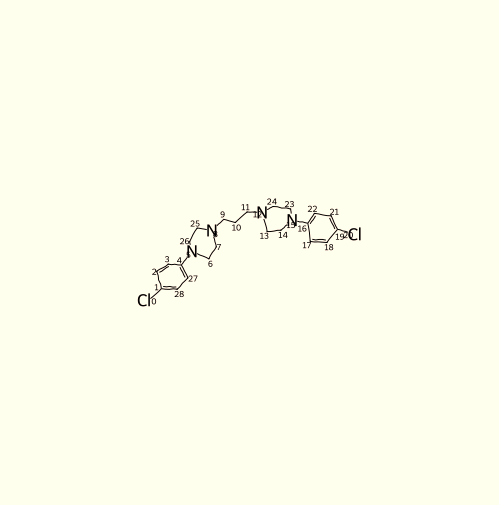 Clc1ccc(N2CCN(CCCN3CCN(c4ccc(Cl)cc4)CC3)CC2)cc1